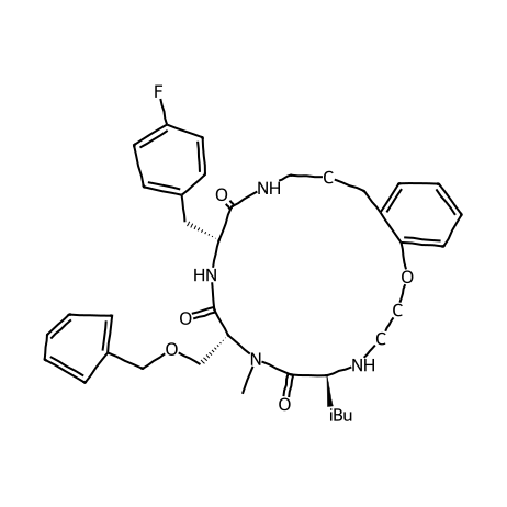 CCC(C)[C@@H]1NCCOc2ccccc2CCCNC(=O)[C@@H](Cc2ccc(F)cc2)NC(=O)[C@@H](COCc2ccccc2)N(C)C1=O